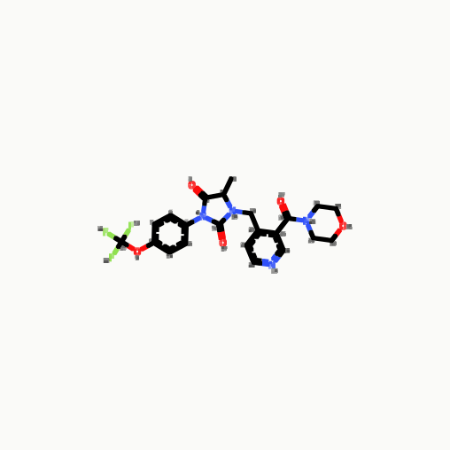 CC1C(=O)N(c2ccc(OC(F)(F)F)cc2)C(=O)N1Cc1ccncc1C(=O)N1CCOCC1